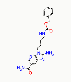 NC(=O)c1cnc2c(c1)nc(N)n2CCCCNC(=O)OCc1ccccc1